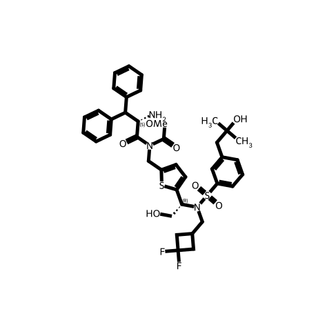 COC(=O)N(Cc1ccc([C@@H](CO)N(CC2CC(F)(F)C2)S(=O)(=O)c2cccc(CC(C)(C)O)c2)s1)C(=O)[C@@H](N)C(c1ccccc1)c1ccccc1